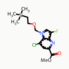 COC(=O)c1cc(Cl)c2c(n1)c(F)cn2COCC[Si](C)(C)C